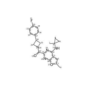 Cc1cc2c(NC3(C)CC3)nc(C(=O)N3CC(c4ccc(F)cc4)C3)nc2o1